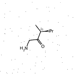 CC(C)[C@H](C)C(=O)CN